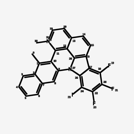 Cc1c2ccccc2cc2c1c1c3c(ccc4c5c(F)c(F)c(F)c(I)c5n2c43)cc[n+]1C